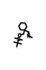 CN=CC1(CO[Si](C)(C)C(C)(C)C)CCCCC1